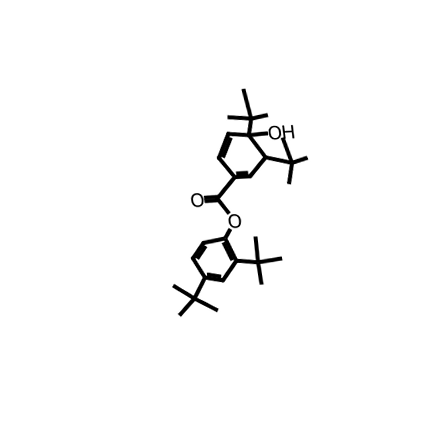 CC(C)(C)c1ccc(OC(=O)C2=CC(C(C)(C)C)C(O)(C(C)(C)C)C=C2)c(C(C)(C)C)c1